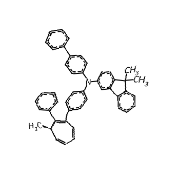 C[C@@H]1C=CC=CC(c2ccc(N(c3ccc(-c4ccccc4)cc3)c3ccc4c(c3)-c3ccccc3C4(C)C)cc2)=C1c1ccccc1